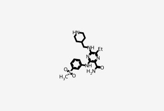 CCc1nc(C(N)=O)c(Nc2cccc(S(C)(=O)=O)c2)nc1NCC1CCNCC1